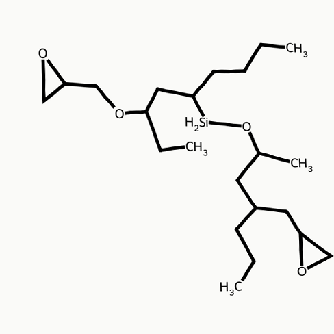 CCCCC(CC(CC)OCC1CO1)[SiH2]OC(C)CC(CCC)CC1CO1